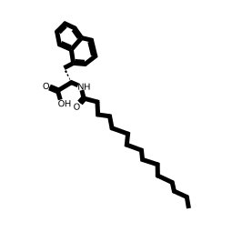 CCCCCCCCCCCCCCC(=O)N[C@@H](Cc1cccc2ccccc12)C(=O)O